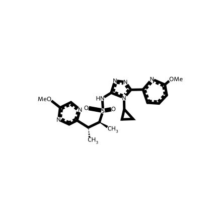 COc1cnc([C@@H](C)[C@H](C)S(=O)(=O)Nc2nnc(-c3cccc(OC)n3)n2C2CC2)cn1